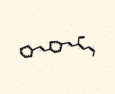 C=CC(/C=C/c1ccc(/C=C/c2ccccc2)cc1)=C\C=C/C